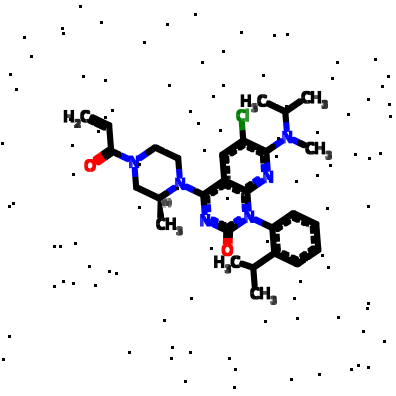 C=CC(=O)N1CCN(c2nc(=O)n(-c3ccccc3C(C)C)c3nc(N(C)C(C)C)c(Cl)cc23)[C@@H](C)C1